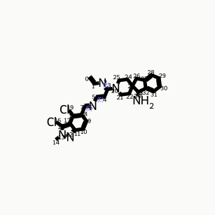 C=C\N=C(/C=C/N=C/c1ccc2nn(C)c(Cl)c2c1Cl)N1CCC2(CC1)Cc1ccccc1[C@H]2N